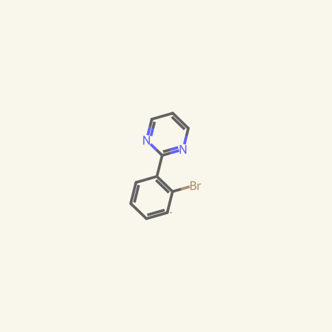 Brc1[c]cccc1-c1ncccn1